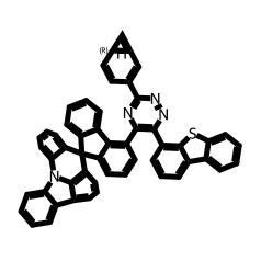 C1=C[C@@H]2C=C2C=C1c1nnc(-c2cccc3c2sc2ccccc23)c(-c2cccc3c2-c2ccccc2C32c3ccccc3-n3c4ccccc4c4cccc2c43)n1